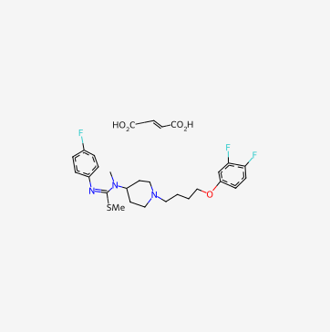 CSC(=Nc1ccc(F)cc1)N(C)C1CCN(CCCCOc2ccc(F)c(F)c2)CC1.O=C(O)/C=C/C(=O)O